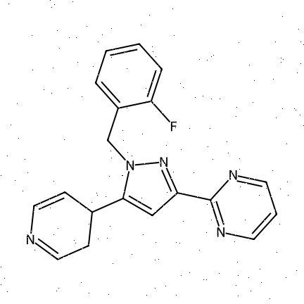 Fc1ccccc1Cn1nc(-c2ncccn2)cc1C1C=CN=CC1